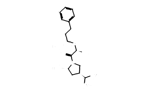 CCOC(=O)[C@H](CCc1ccccc1)N[C@@H](C)C(=O)N1C[C@@H](C(OC)OC)C[C@@H]1C(=O)O